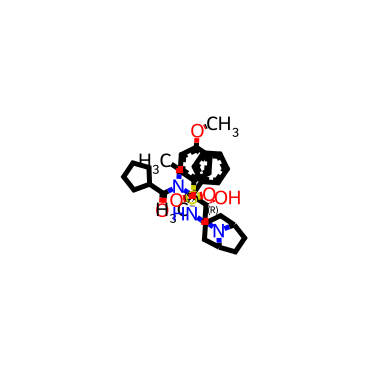 CCN(C(=O)C1CCCC1)[C@@](C)(c1ccccc1)[C@H](O)CN1C2CCC1CC(NS(=O)(=O)c1ccc(OC)cc1)C2